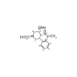 CCOC(=O)N1CC[C@@H](NC(C)c2ccccc2)[C@@H](OC)C1